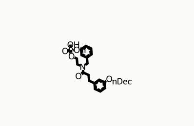 CCCCCCCCCCOc1cccc(CCC(=O)N(CCOP(=O)(O)O)Cc2ccccc2)c1